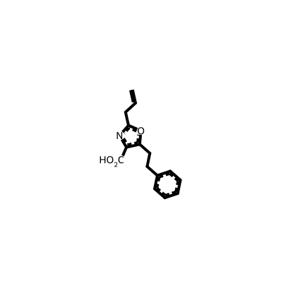 C=CCc1nc(C(=O)O)c(CCc2ccccc2)o1